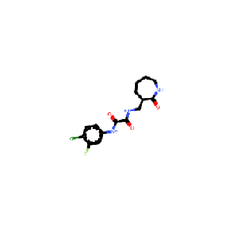 O=C(NCC1CCCCNC1=O)C(=O)Nc1ccc(Cl)c(F)c1